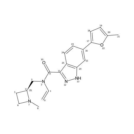 C=CN(C[C@@H]1CCN1C)C(=O)c1n[nH]c2cc(-c3ccc(C)o3)ccc12